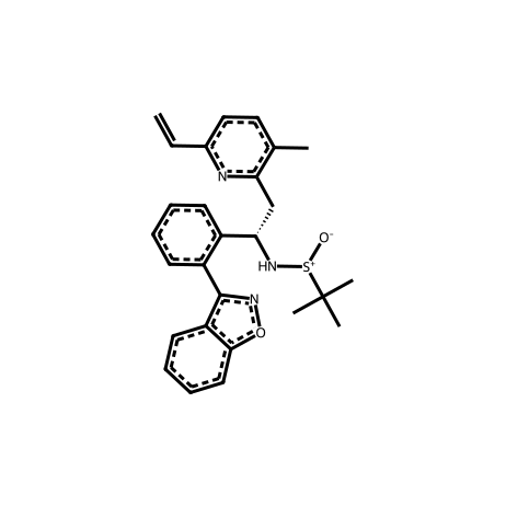 C=Cc1ccc(C)c(C[C@H](N[S+]([O-])C(C)(C)C)c2ccccc2-c2noc3ccccc23)n1